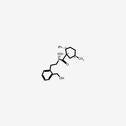 CC(C)[C@@H]1CC[C@@H](C)C[C@@]1(O)C(=O)NCCc1ccccc1CO